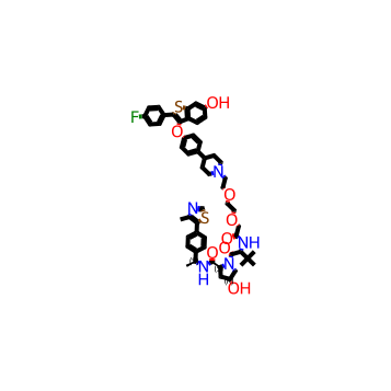 Cc1ncsc1-c1ccc([C@H](C)NC(=O)[C@@H]2C[C@@H](O)CN2C(=O)C(NC(=O)COCCOCCN2CCC(c3ccc(Oc4c(-c5ccc(F)cc5)sc5cc(O)ccc45)cc3)CC2)C(C)(C)C)cc1